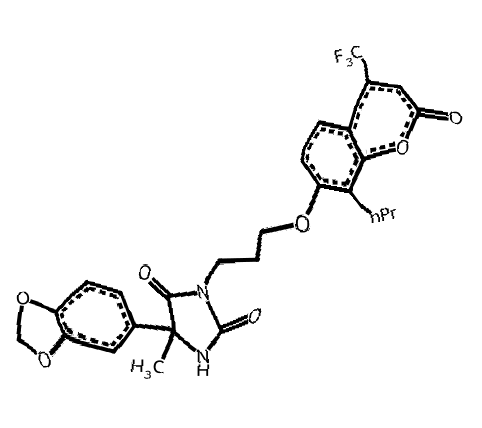 CCCc1c(OCCCN2C(=O)NC(C)(c3ccc4c(c3)OCO4)C2=O)ccc2c(C(F)(F)F)cc(=O)oc12